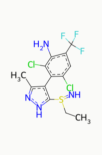 CCS(=N)c1[nH]nc(C)c1-c1c(Cl)cc(C(F)(F)F)c(N)c1Cl